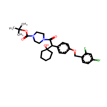 CC(C)(C)OC(=O)N1CCN(C(=O)C(c2ccc(OCc3ccc(Br)cc3F)cc2)C2(O)CCCCC2)CC1